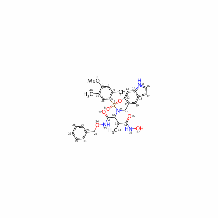 COc1cc(C)c(S(=O)(=O)N(Cc2ccc3[nH]ccc3c2)C(C(=O)NOCc2ccccc2)C(C)C(=O)NO)cc1C